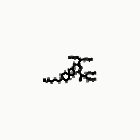 CCCCCCCC(CCCCCCC)C(=O)O[C@@H]1CC2(CCN(CCCN)CC2)C[C@H]1OC(=O)C(CCCCCCC)CCCCCCC